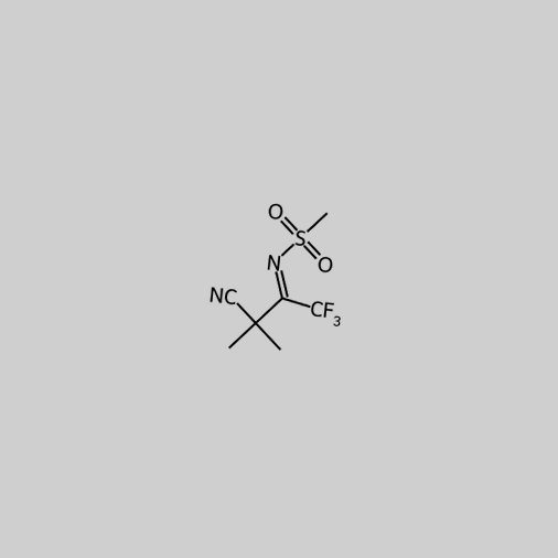 CC(C)(C#N)C(=NS(C)(=O)=O)C(F)(F)F